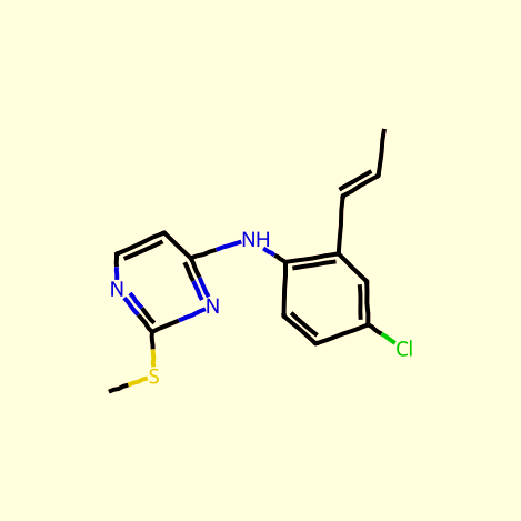 CC=Cc1cc(Cl)ccc1Nc1ccnc(SC)n1